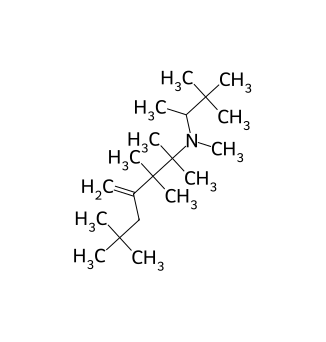 C=C(CC(C)(C)C)C(C)(C)C(C)(C)N(C)C(C)C(C)(C)C